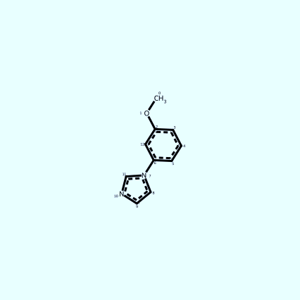 COc1cccc(-n2c[c]nc2)c1